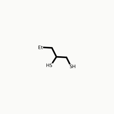 [CH2]CCC(S)CS